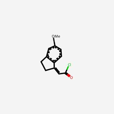 COc1ccc2c(c1)CC/C2=C/C(=O)Cl